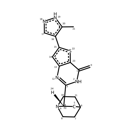 C=C1NC([C@@H]2CC3CCN2CC3)=Nc2cc(-c3cn[nH]c3C)sc21